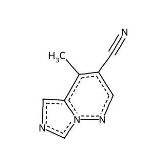 Cc1c(C#N)cnn2cncc12